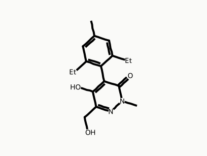 CCc1cc(C)cc(CC)c1-c1c(O)c(CO)nn(C)c1=O